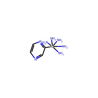 [NH2][Ru]([NH2])([NH2])([NH2])([NH2])[c]1cnccn1